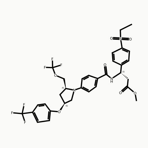 CCS(=O)(=O)c1ccc([C@H](CC(=O)OC)NC(=O)c2ccc(N3C[C@@H](Oc4ccc(C(F)(F)F)cc4)C[C@H]3COC(F)(F)F)cc2)cc1